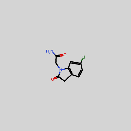 NC(=O)CN1C(=O)Cc2ccc(Cl)cc21